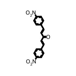 O=C(C=Cc1ccc([N+](=O)[O-])cc1)C=Cc1ccc([N+](=O)[O-])cc1